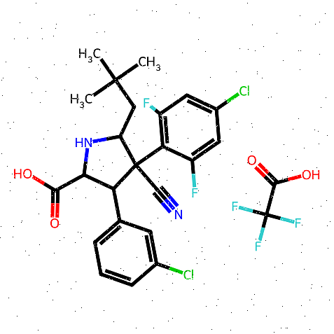 CC(C)(C)CC1NC(C(=O)O)C(c2cccc(Cl)c2)C1(C#N)c1c(F)cc(Cl)cc1F.O=C(O)C(F)(F)F